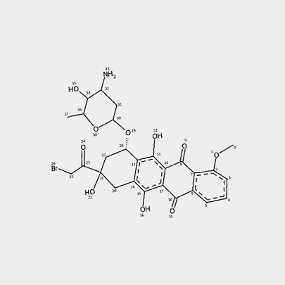 COc1cccc2c1C(=O)c1c(O)c3c(c(O)c1C2=O)CC(O)(C(=O)CBr)C[C@@H]3OC1CC(N)C(O)C(C)O1